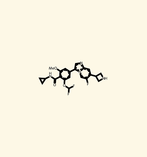 COc1cc(-c2cnc3cc(C4CNC4)c(F)cn23)cc(OC(F)F)c1C(=O)NC1CC1